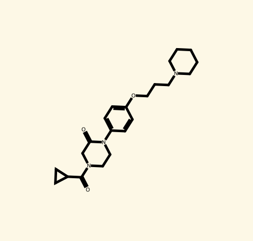 O=C(C1CC1)N1CCN(c2ccc(OCCCN3CCCCC3)cc2)C(=O)C1